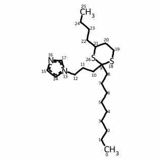 CCCCCCCCCC1(CCCn2ccnc2)SCCC(CCCC)S1